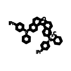 CC(C)c1ccc(N(c2ccccc2)c2ccc3c(ccc4oc5ccc6cc(N(c7ccc(C(C)C)cc7)C7C=CC=CC7C)ccc6c5c43)c2)cc1